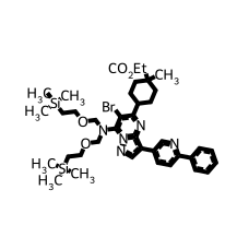 CCOC(=O)C1(C)CCC(c2nc3c(-c4ccc(-c5ccccc5)nc4)cnn3c(N(COCC[Si](C)(C)C)COCC[Si](C)(C)C)c2Br)CC1